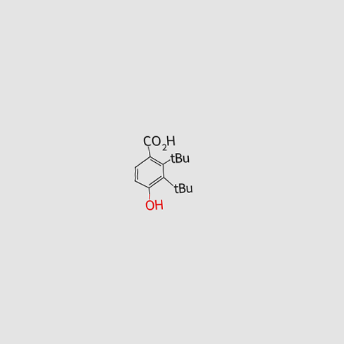 CC(C)(C)c1c(O)ccc(C(=O)O)c1C(C)(C)C